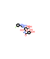 CN(C(=O)c1ccc(O)c(O)c1)[C@@H]1O[C@H](CO)[C@H](O)[C@H](N2CC(c3cccc(F)c3)NN2)[C@H]1O